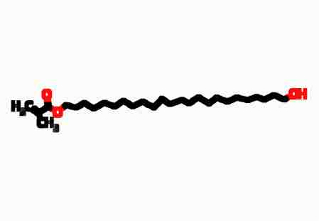 C=C(C)C(=O)OCCCCCCCCCCCCCCCCCCCCCCCCO